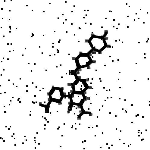 CNc1cccc(-n2c(=O)c(C(C)C)nc3cnc(Nc4ccc(N5CCN(C)CC5)cc4)nc32)c1